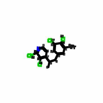 CC(C)c1cc(CC(C)c2ccnc(Cl)c2Cl)cc(Cl)c1Cl